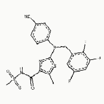 Cc1sc(N(Cc2cc(F)cc(F)c2F)c2ccc(C#N)cc2)nc1C(=O)NS(C)(=O)=O